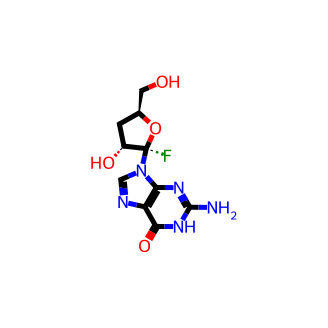 Nc1nc2c(ncn2[C@]2(F)O[C@H](CO)C[C@H]2O)c(=O)[nH]1